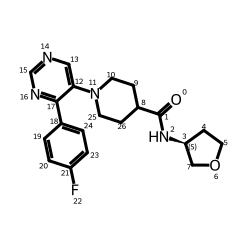 O=C(N[C@H]1CCOC1)C1CCN(c2cncnc2-c2ccc(F)cc2)CC1